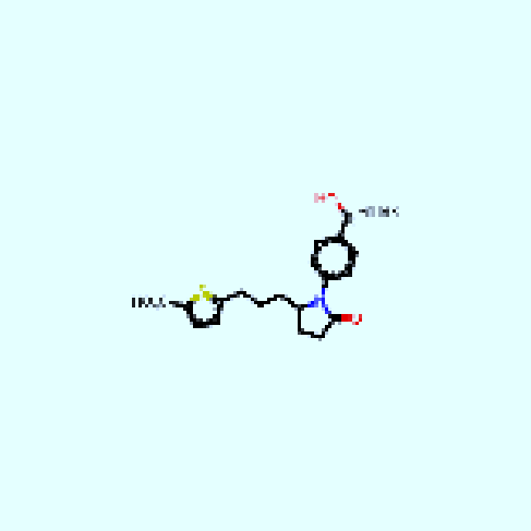 CCCCCC[C@@H](O)c1ccc(N2C(=O)CCC2CCCc2ccc(C(=O)O)s2)cc1